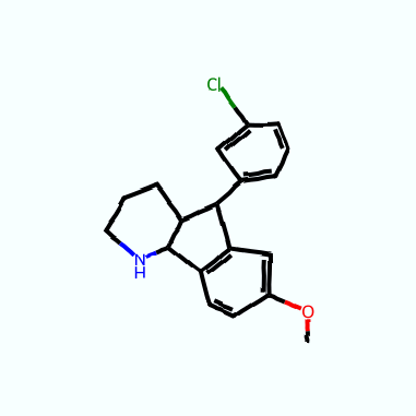 COc1ccc2c(c1)C(c1cccc(Cl)c1)C1CCCNC21